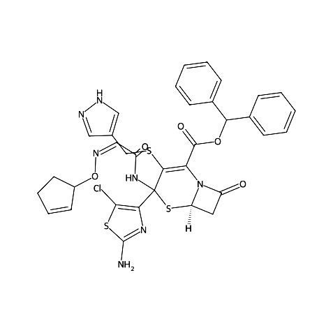 Nc1nc(C2(NC(=O)/C=N\OC3C=CCC3)S[C@@H]3CC(=O)N3C(C(=O)OC(c3ccccc3)c3ccccc3)=C2SCc2cn[nH]c2)c(Cl)s1